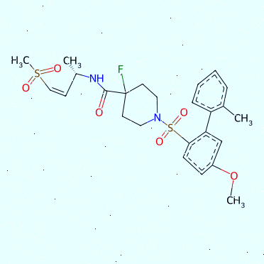 COc1ccc(S(=O)(=O)N2CCC(F)(C(=O)N[C@@H](C)/C=C\S(C)(=O)=O)CC2)c(-c2ccccc2C)c1